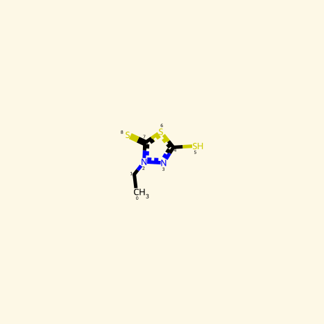 CCn1nc(S)sc1=S